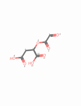 O=CC(=O)OC(CC(=O)O)C(=O)O